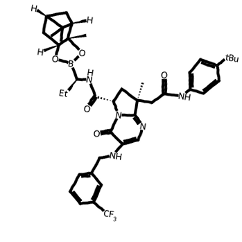 CC[C@H](NC(=O)[C@@H]1C[C@@](C)(CC(=O)Nc2ccc(C(C)(C)C)cc2)c2ncc(NCc3cccc(C(F)(F)F)c3)c(=O)n21)B1O[C@@H]2C[C@@H]3C[C@@H](C3(C)C)[C@]2(C)O1